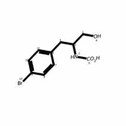 O=C(O)NC(CO)Cc1ccc(Br)cc1